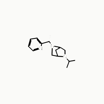 CC(C)N1CC2CC1CN2[C@@H](C)c1ccccn1